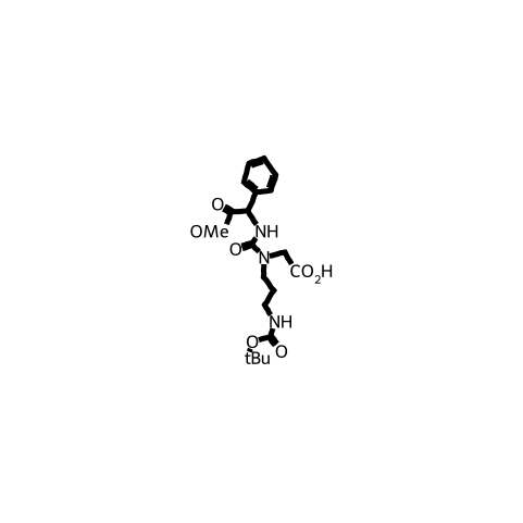 COC(=O)C(NC(=O)N(CCCNC(=O)OC(C)(C)C)CC(=O)O)c1ccccc1